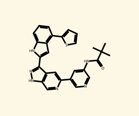 CC(C)(C)C(=O)Nc1cncc(-c2cc3c(-c4cc5c(-c6cccs6)cccc5[nH]4)n[nH]c3cn2)c1